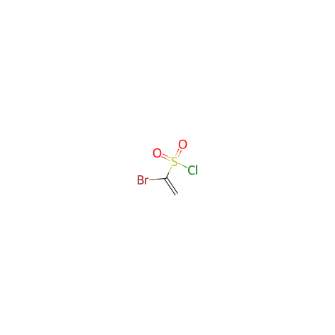 C=C(Br)S(=O)(=O)Cl